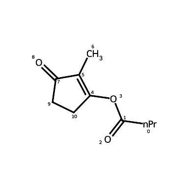 CCCC(=O)OC1=C(C)C(=O)CC1